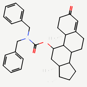 CC(=O)[C@H]1CCC2C3CCC4=CC(=O)CC[C@]4(C)C3C(OC(=O)N(Cc3ccccc3)Cc3ccccc3)C[C@@]21C